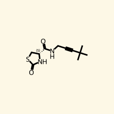 CC(C)(C)C#CCNC(=O)[C@H]1CSC(=O)N1